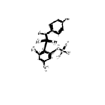 CCC(c1ccc(O)cc1)C(O)(O)c1c(O)cc(O)cc1OP(=O)(O)O